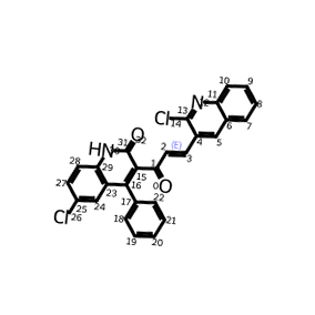 O=C(/C=C/c1cc2ccccc2nc1Cl)c1c(-c2ccccc2)c2cc(Cl)ccc2[nH]c1=O